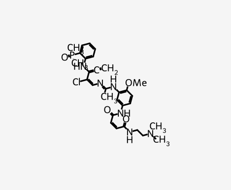 C=C=C(Nc1ccccc1P(C)(C)=O)/C(Cl)=C\N=C(/C)Nc1cc(NC(=O)/C=C\C(=O)NCCN(C)C)ccc1OC